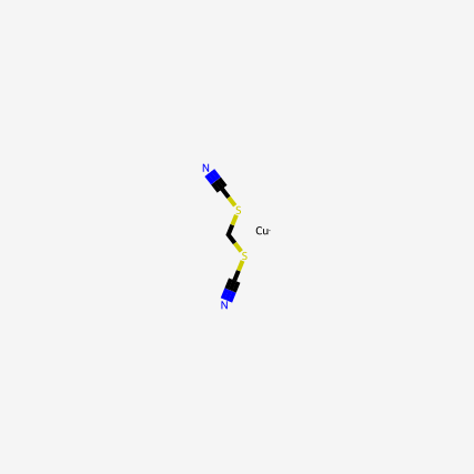 N#CSCSC#N.[Cu]